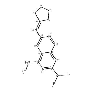 CC(C)Nc1nc(C(F)F)cc2cnc(N=C3CCCC3)cc12